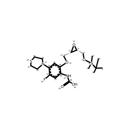 CC(C)(C)[Si](C)(C)OC[C@H]1O[C@H]1COc1cc(N2CCSCC2)c(F)cc1NC(=O)O